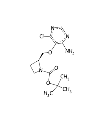 CC(C)(C)OC(=O)N1CC[C@H]1COc1c(N)ncnc1Cl